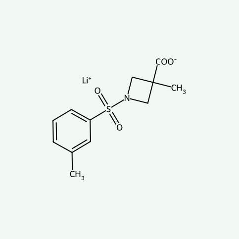 Cc1cccc(S(=O)(=O)N2CC(C)(C(=O)[O-])C2)c1.[Li+]